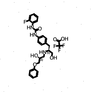 O=C(Nc1ccc(C[C@@H](CO)NC[C@H](O)COc2ccccc2)cc1)Nc1ccccc1F.O=C(O)C(F)(F)F